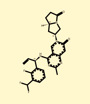 C=C[C@@H](Nc1nc(C)nc2cc(=O)n([C@H]3C[C@H]4CCC(=O)N4C3)cc12)c1cccc(C(F)F)c1F